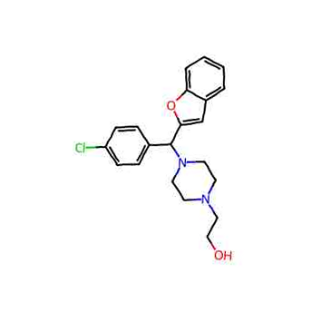 OCCN1CCN(C(c2ccc(Cl)cc2)c2cc3ccccc3o2)CC1